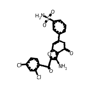 Nc1c(C(=O)c2ccc(Cl)cc2Cl)oc2c1C(=O)CC(c1cccc(S(N)(=O)=O)c1)=C2